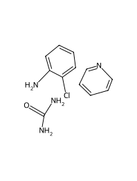 NC(N)=O.Nc1ccccc1Cl.c1ccncc1